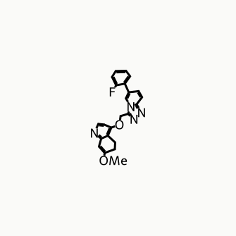 COC1=Cc2nccc(OCc3nnc4ccc(-c5ccccc5F)cn34)c2CC1